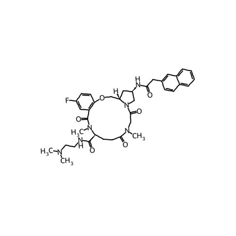 CN(C)CCNC(=O)[C@@H]1CCC(=O)N(C)CC(=O)N2C[C@H](NC(=O)Cc3ccc4ccccc4c3)C[C@H]2COc2ccc(F)cc2C(=O)N1C